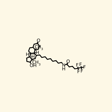 C[C@]12CCC(=O)CC1CC[C@@H]1[C@H]2C(CCCCCCCCCNC(=O)CCCC(F)(F)C(F)(F)F)C[C@]2(C)C(O)CC[C@@H]12